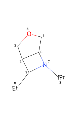 CCC1C2COCC2N1C(C)C